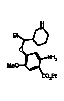 CCOC(=O)c1cc(OC)c(OC(CC)C2CCCNC2)cc1N